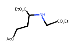 CCOC(=O)CNC(CCOC(C)=O)C(=O)OCC